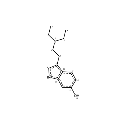 CCN(CC)CCc1c[nH]c2cc(O)ccc12